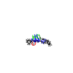 Cl.Cl.O=C(NCCCN1CCN(Cc2ccccc2)CC1)NC1CCCCC1